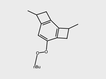 CCCCOOc1cc2c(c3c1CC3C)CC2C